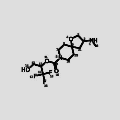 CNC1COC2(CCN(C(=O)OC(CO)C(F)(F)F)CC2)C1